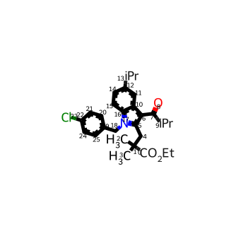 CCOC(=O)C(C)(C)Cc1c(C(=O)C(C)C)c2cc(C(C)C)ccc2n1Cc1ccc(Cl)cc1